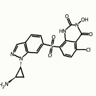 N[C@@H]1C[C@H]1n1ncc2ccc(S(=O)(=O)c3ccc(Cl)c4c(=O)n(O)c(=O)[nH]c34)cc21